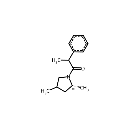 CC1C[C@@H](C)N(C(=O)C(C)c2ccccc2)C1